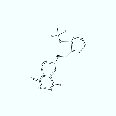 O=c1[nH]nc(Cl)c2cc(NCc3ccccc3OC(F)(F)F)ccc12